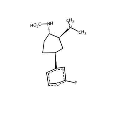 CN(C)[C@H]1C[C@@H](c2cccc(F)c2)CC[C@@H]1NC(=O)O